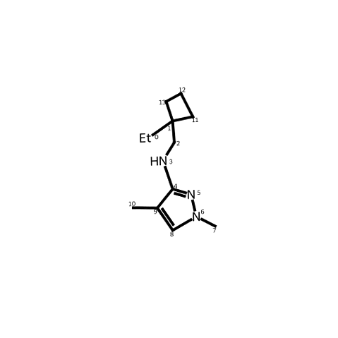 CCC1(CNc2nn(C)cc2C)CCC1